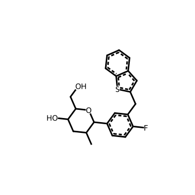 CC1CC(O)C(CO)OC1c1ccc(F)c(Cc2cc3ccccc3s2)c1